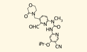 CC(C)Oc1cc(NC(=O)N(C)c2ccc(CN3CCOCC3=O)c(C=O)n2)ncc1C#N